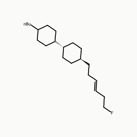 CCCCC1CCC([C@H]2CC[C@H](CC/C=C/CCF)CC2)CC1